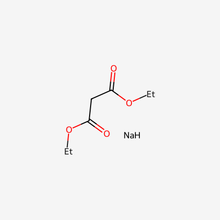 CCOC(=O)CC(=O)OCC.[NaH]